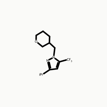 CC(C)c1cc(C(F)(F)F)n(CC2CCCOC2)n1